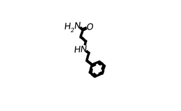 NC(=O)CCNCCc1ccccc1